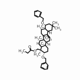 CCC(=O)OC[C@@]1(C)C2CC[C@]3(C)[C@H](CC=C4[C@H]5CC(C)(C)C[C@@H](OCc6ccccc6)[C@]5(C)CC[C@]43C)[C@@]2(C)CC[C@@H]1OCc1ccccc1